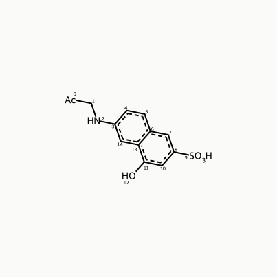 CC(=O)CNc1ccc2cc(S(=O)(=O)O)cc(O)c2c1